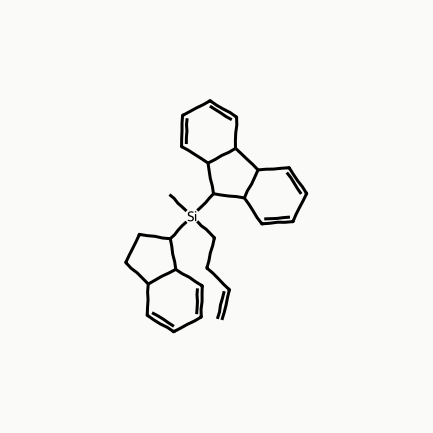 C=CCC[Si](C)(C1CCC2C=CC=CC21)C1C2C=CC=CC2C2C=CC=CC21